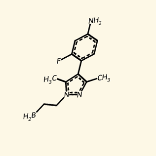 BCCn1nc(C)c(-c2ccc(N)cc2F)c1C